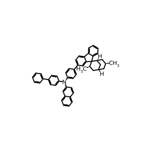 C[C@H]1C[C@H]2C[C@H](C1)C1(c3ccccc3-c3ccc(-c4ccc(N(c5ccc(-c6ccccc6)cc5)c5ccc6ccccc6c5)cc4)cc31)[C@H](C)C2